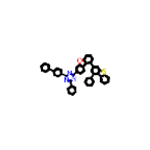 c1ccc(-c2ccc(-c3nc(-c4ccccc4)nc(-c4ccc5c(c4)oc4cccc(-c6cc(-c7ccccc7)c7c(c6)sc6ccccc67)c45)n3)cc2)cc1